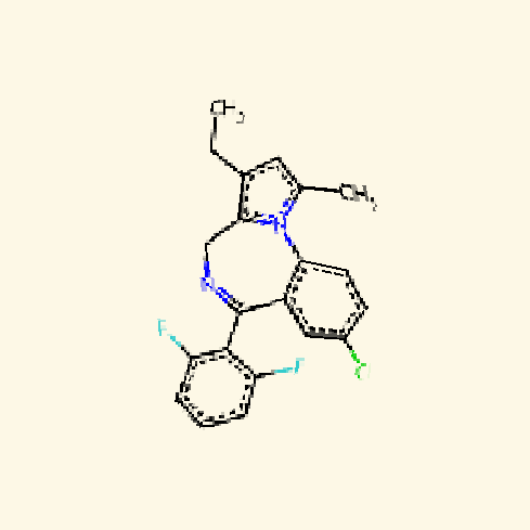 CCc1cc(C)n2c1CN=C(c1c(F)cccc1F)c1cc(Cl)ccc1-2